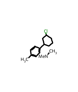 CNC.Cc1ccc(C2CCCC(Cl)C2)cc1